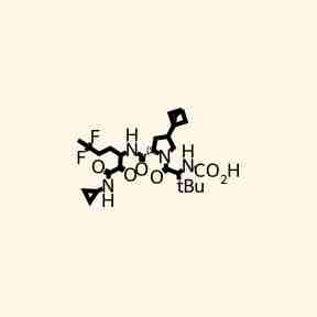 CC(F)(F)CCC(NC(=O)[C@@H]1CC(C23CC(C2)C3)CN1C(=O)C(NC(=O)O)C(C)(C)C)C(=O)C(=O)NC1CC1